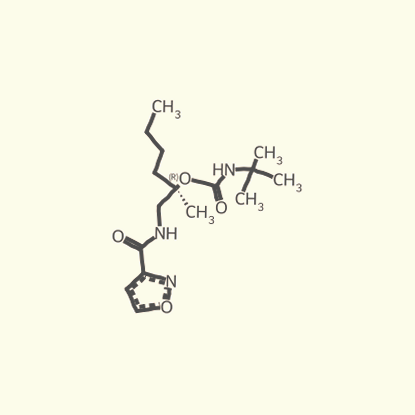 CCCC[C@](C)(CNC(=O)c1ccon1)OC(=O)NC(C)(C)C